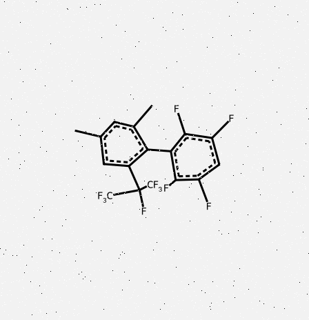 Cc1[c]c(C)c(-c2c(F)c(F)cc(F)c2F)c(C(F)(C(F)(F)F)C(F)(F)F)c1